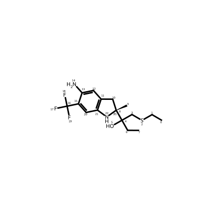 CCSCC(O)(CC)[C@@]1(C)Cc2cc(N)c(C(F)(F)F)cc2N1